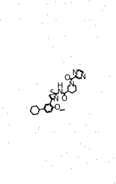 CCOc1ccc(C2CCCCC2)cc1-c1csc(NC(=O)C2CCCN(C(=O)c3cnccn3)C2)n1